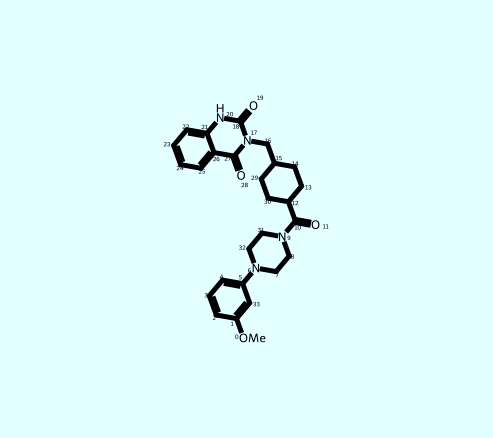 COc1cccc(N2CCN(C(=O)C3CCC(Cn4c(=O)[nH]c5ccccc5c4=O)CC3)CC2)c1